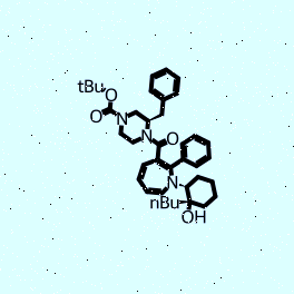 CCCC[C@]1(O)CCCC[C@H]1N1C=CC=CC(C(=O)N2CCN(C(=O)OC(C)(C)C)C[C@H]2Cc2ccccc2)=C1c1ccccc1